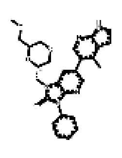 COCC1COC[C@H](Cn2c(=O)n(-c3ccccc3)c3ncc(-c4cnc5[nH]ccc5c4C)cc32)O1